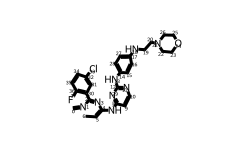 C=N/C(=N\C(=C/C)Nc1ccnc(Nc2ccc(NCCN3CCOCC3)cc2)n1)c1cc(Cl)ccc1F